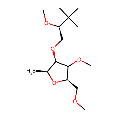 B[C@@H]1O[C@H](COC)C(OC)[C@@H]1OC[C@@H](OC)C(C)(C)C